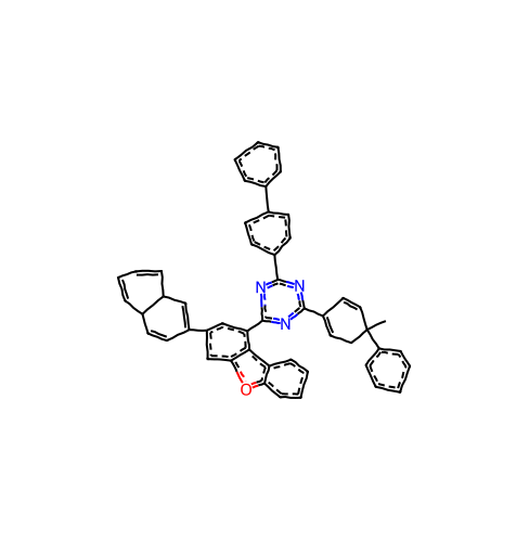 CC1(c2ccccc2)C=CC(c2nc(-c3ccc(-c4ccccc4)cc3)nc(-c3cc(C4=CC5C=CC=CC5C=C4)cc4oc5ccccc5c34)n2)=CC1